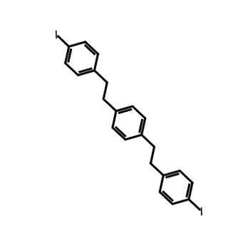 Ic1ccc(CCc2ccc(CCc3ccc(I)cc3)cc2)cc1